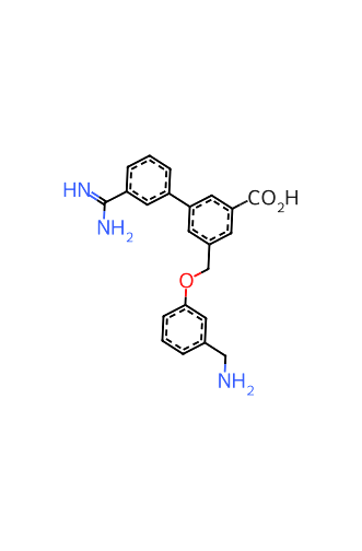 N=C(N)c1cccc(-c2cc(COc3cccc(CN)c3)cc(C(=O)O)c2)c1